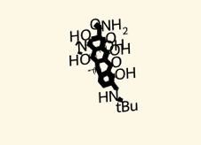 C[C@H]1c2ccc(CNCC(C)(C)C)c(O)c2C(=O)C2=C(O)[C@]3(O)C(=O)C(C(N)=O)=C(O)[C@@H](N(C)C)C3[C@@H](O)C21